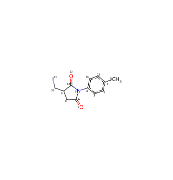 Cc1ccc(N2C(=O)CC(CI)C2=O)cc1